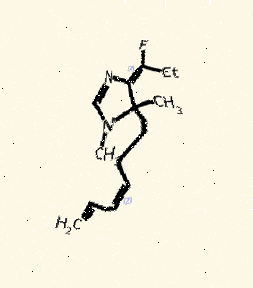 C=C/C=C\CCC1(C)/C(=C(/F)CC)N=CN1C